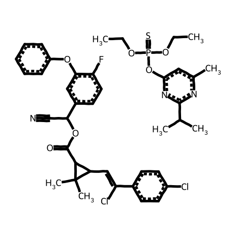 CC1(C)C(/C=C(\Cl)c2ccc(Cl)cc2)C1C(=O)OC(C#N)c1ccc(F)c(Oc2ccccc2)c1.CCOP(=S)(OCC)Oc1cc(C)nc(C(C)C)n1